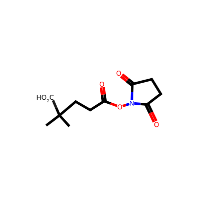 CC(C)(CCC(=O)ON1C(=O)CCC1=O)C(=O)O